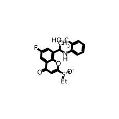 CC[S+]([O-])c1cc(=O)c2cc(F)cc(C(C)Nc3ccccc3C(=O)O)c2o1